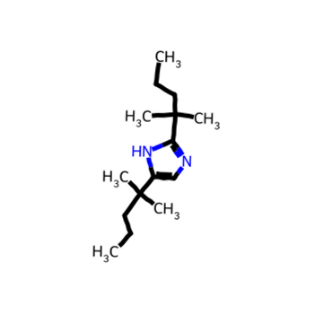 CCCC(C)(C)c1cnc(C(C)(C)CCC)[nH]1